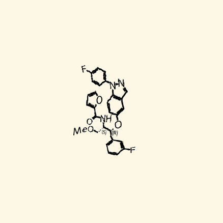 COC[C@H](NC(=O)c1ccco1)[C@H](Oc1ccc2c(cnn2-c2ccc(F)cc2)c1)c1cccc(F)c1